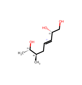 C[C@H](O)[C@H](C)C/C=C/[C@H](O)CO